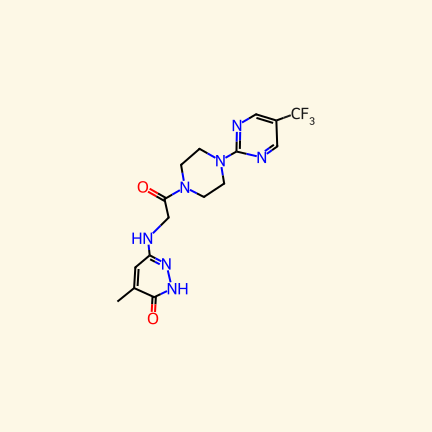 Cc1cc(NCC(=O)N2CCN(c3ncc(C(F)(F)F)cn3)CC2)n[nH]c1=O